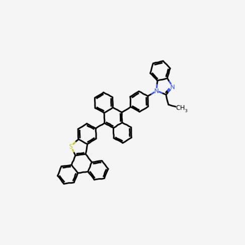 CCc1nc2ccccc2n1-c1ccc(-c2c3ccccc3c(-c3ccc4sc5c6ccccc6c6ccccc6c5c4c3)c3ccccc23)cc1